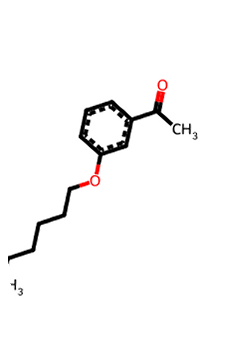 CCCCCCOc1cccc(C(C)=O)c1